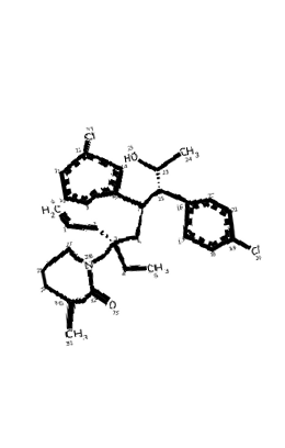 C=CC[C@@](CC)(C[C@@H](c1cccc(Cl)c1)[C@@H](c1ccc(Cl)cc1)C(C)O)N1CCCC(C)C1=O